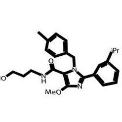 COc1nc(-c2cccc(C(C)C)c2)n(Cc2ccc(C)cc2)c1C(=O)NCCCO